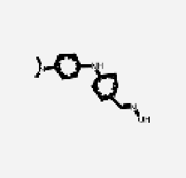 CN(C)c1ccc(Nc2ccc(/C=N/O)cc2)cc1